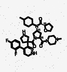 CC1CCC(N(C(=O)[C@@H]2CCCO2)[C@@H]2C[C@@H](C(=O)N3CCN(C)CC3)N(C(=O)C3(C4=NNCC=C4c4ccc(F)cc4F)CCNC3)C2)CC1